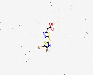 O=C(O)Cc1nnc(Sc2nc(Br)c(Br)s2)s1